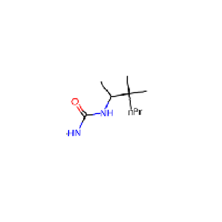 CCCC(C)(C)C(C)NC([NH])=O